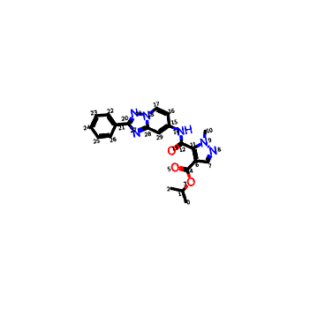 CC(C)OC(=O)c1cnn(C)c1C(=O)Nc1ccn2nc(-c3ccccc3)nc2c1